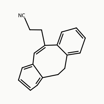 N#CCCC1=Cc2ccccc2CCc2ccccc21